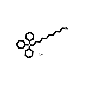 BrCCCCCCCCCC[P+](C1CCCCC1)(C1CCCCC1)C1CCCCC1.[Br-]